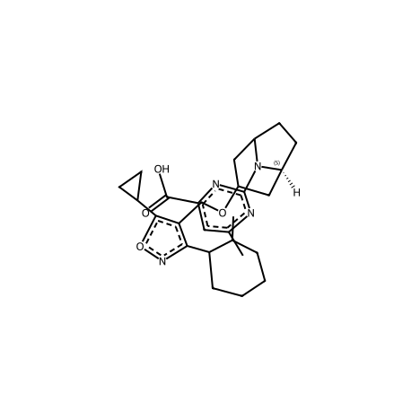 Cc1cc(C(=O)O)nc(N2C3CC[C@H]2CC(OCc2c(C4CCCCC4C)noc2C2CC2)C3)n1